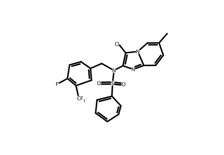 Cc1ccc2nc(N(Cc3ccc(F)c(C(F)(F)F)c3)S(=O)(=O)c3ccccc3)c(Cl)n2c1